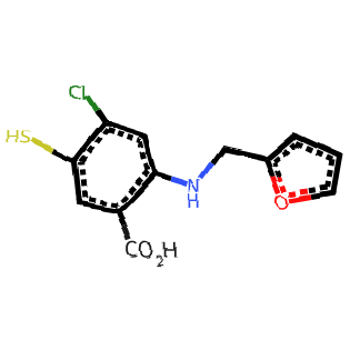 O=C(O)c1cc(S)c(Cl)cc1NCc1ccco1